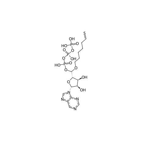 O=P(O)(O)OP(=O)(O)OP(=O)(O)OC(OCCCCCC=S)[C@H]1O[C@@H](n2cnc3cncnc32)[C@H](O)[C@@H]1O